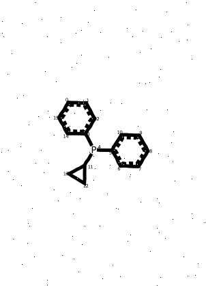 c1ccc(P(c2ccccc2)C2CC2)cc1